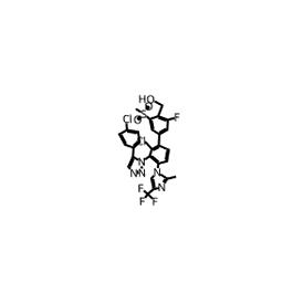 Cc1nc(C(F)(F)F)cn1-c1ccc(-c2cc(F)c(CO)c(S(C)(=O)=O)c2)c(Cl)c1-n1nncc1-c1ccc(Cl)cc1